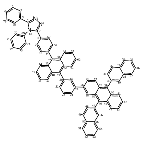 c1ccc(-c2nnc(-c3ccc(-c4c5ccccc5c(-c5cccc(-c6ccc7c(-c8ccc9ccccc9c8)c8ccccc8c(-c8ccc9ccccc9c8)c7c6)c5)c5ccccc45)cc3)n2-c2ccccc2)cc1